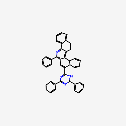 C1=CC2C(C3=NC(c4ccccc4)=NC(c4ccccc4)N3)=Cc3c(-c4ccccc4)nc4c(c3C2C=C1)CCc1ccccc1-4